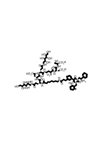 Cc1c(-c2cccc(CCC(=O)NCCCCCCCC(=O)N[C@H](CCC(=O)NC[C@H](O)[C@@H](O)[C@H](O)[C@H](O)CO)C(=O)N[C@H](CCC(=O)O)C(=O)N[C@H](CCC(=O)NC[C@H](O)[C@@H](O)[C@H](O)[C@H](O)CO)C(=O)NCC[C@H](N)C(=O)N[C@@H](CC(=O)O)C(=O)N[C@@H](CS)C(=O)O)c2)c(=O)n(C[C@@H](N)c2ccccc2)c(=O)n1Cc1c(F)cccc1F